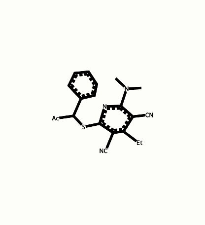 CCc1c(C#N)c(SC(C(C)=O)c2ccccc2)nc(N(C)C)c1C#N